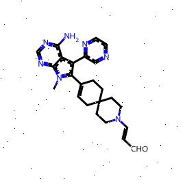 Cn1c(C2=CCC3(CC2)CCN(C=CC=O)CC3)c(-c2cnccn2)c2c(N)ncnc21